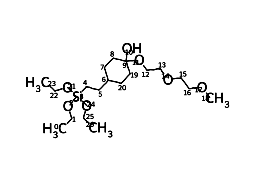 CCO[Si](CCC1CCC(O)(OCCOCCOC)CC1)(OCC)OCC